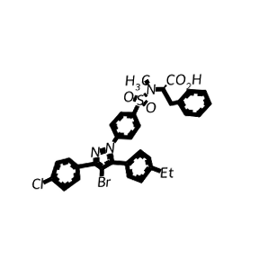 CCc1ccc(-c2c(Br)c(-c3ccc(Cl)cc3)nn2-c2ccc(S(=O)(=O)N(C)[C@@H](Cc3ccccc3)C(=O)O)cc2)cc1